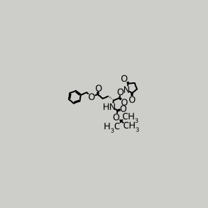 CC(C)(C)OC(=O)N[C@H](CCC(=O)OCc1ccccc1)C(=O)ON1C(=O)CCC1=O